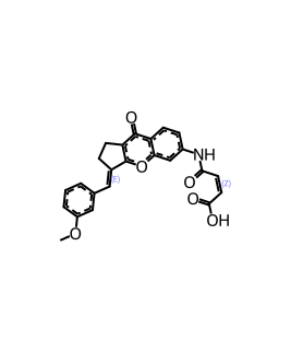 COc1cccc(/C=C2\CCc3c2oc2cc(NC(=O)/C=C\C(=O)O)ccc2c3=O)c1